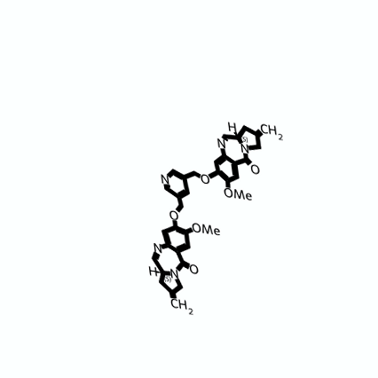 C=C1C[C@H]2C=Nc3cc(OCc4cncc(COc5cc6c(cc5OC)C(=O)N5CC(=C)C[C@H]5C=N6)c4)c(OC)cc3C(=O)N2C1